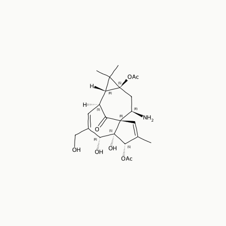 CC(=O)O[C@H]1C(C)=C[C@]23C(=O)[C@@H](C=C(CO)[C@@H](O)[C@]12O)[C@@H]1C(C)(C)[C@]1(OC(C)=O)C[C@H]3N